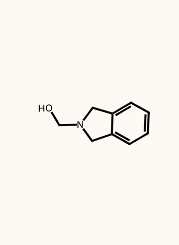 OCN1Cc2ccccc2C1